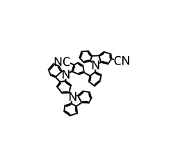 N#Cc1ccc2c3ccccc3n(-c3ccccc3-c3ccc(C#N)c(-n4c5ccccc5c5ccc(-n6c7ccccc7c7ccccc76)cc54)c3)c2c1